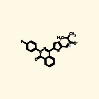 CC(C)/[N+]([O-])=C\c1ccc(-c2nn(-c3ccc(F)cc3)c(=O)c3ccccc23)s1